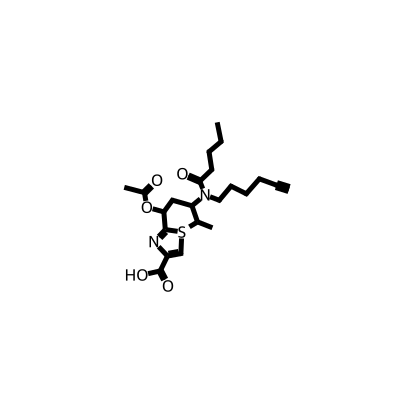 C#CCCCCN(C(=O)CCCC)C(CC(OC(C)=O)c1nc(C(=O)O)cs1)C(C)C